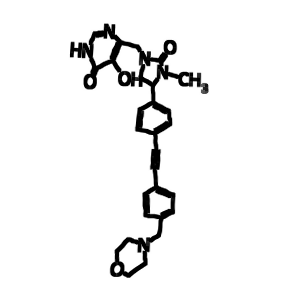 CN1C(=O)N(Cc2nc[nH]c(=O)c2O)CC1c1ccc(C#Cc2ccc(CN3CCOCC3)cc2)cc1